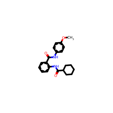 COc1ccc(NC(=O)c2ccccc2NC(=O)C2CCCCC2)cc1